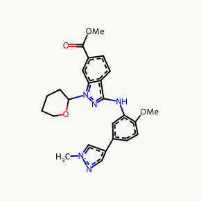 COC(=O)c1ccc2c(Nc3cc(-c4cnn(C)c4)ccc3OC)nn(C3CCCCO3)c2c1